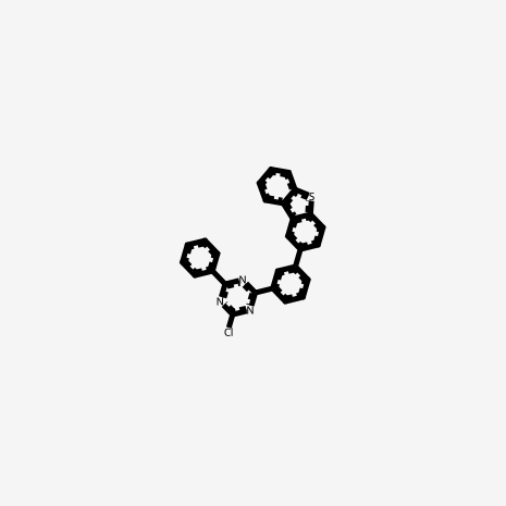 Clc1nc(-c2ccccc2)nc(-c2cccc(-c3ccc4sc5ccccc5c4c3)c2)n1